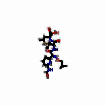 CC(C)CON=C(C(=O)NC1C(=O)N2C(C(=O)O)=CC(C)S[C@@H]12)c1cccc(NC=O)n1